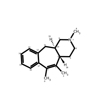 CC1=C(C)[C@H]2CCN(C)C[C@@H]2Cc2ccccc21